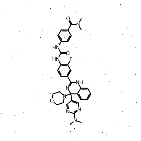 CN(C)C(=O)c1ccc(NC(=O)Nc2ccc(C3=NC(c4cnc(N(C)C)nc4)(N4CCOCC4)c4ccccc4N3)cc2F)cc1